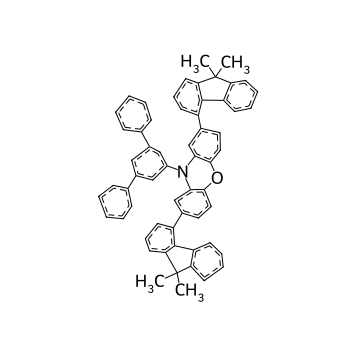 CC1(C)c2ccccc2-c2c(-c3ccc4c(c3)N(c3cc(-c5ccccc5)cc(-c5ccccc5)c3)c3cc(-c5cccc6c5-c5ccccc5C6(C)C)ccc3O4)cccc21